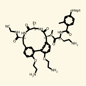 CCCCCCCc1ccc(C(=O)N[C@@H](CCN)C(=O)N(C)[C@@H]2C(=O)N[C@@H](CC)C(=O)N[C@H](C(=O)NCC#N)Cc3ccc(OCCN)c(c3)-c3cc2ccc3OCCN)c(C)c1